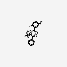 CC(C)(C)N(NC(=O)c1cc(F)ccc1F)C(=O)c1ccccc1